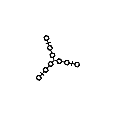 CC(C)(c1ccccc1)c1ccc(-c2ccc(N(c3ccc(-c4ccc(C(C)(C)c5ccccc5)cc4)cc3)c3ccc(-c4ccc(C(C)(C)c5ccccc5)cc4)cc3)cc2)cc1